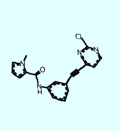 Cn1cccc1C(=O)Nc1cccc(C#Cc2ccnc(Cl)n2)c1